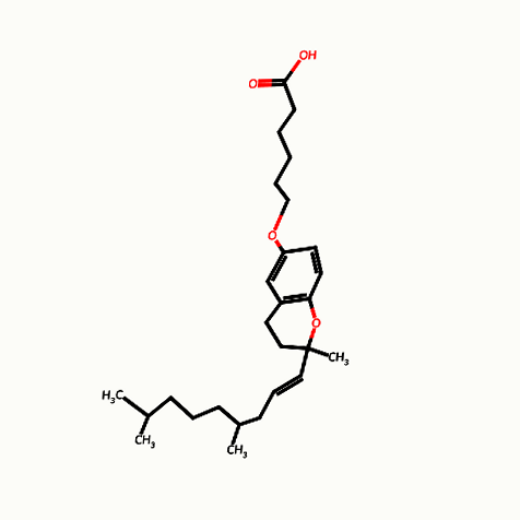 CC(C)CCCC(C)CC=CC1(C)CCc2cc(OCCCCCC(=O)O)ccc2O1